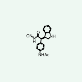 CC(=O)Nc1ccc(C(C(=O)NN=O)=C2CNc3ccccc32)cc1